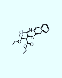 CCOC(=O)C(C(=O)OCC)c1nc2cc3ccccc3cc2nc1Cl